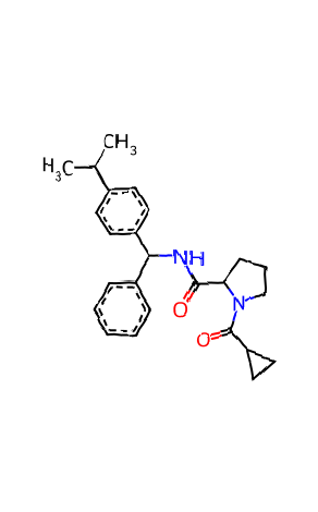 CC(C)c1ccc(C(NC(=O)C2CCCN2C(=O)C2CC2)c2ccccc2)cc1